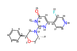 C[C@@H]1CO[C@@H](c2ccccc2)CN1c1nc(-c2ccncc2F)cc(=O)n1C